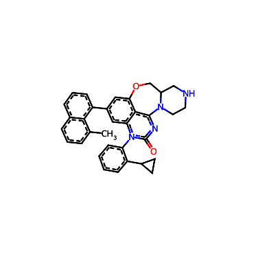 Cc1cccc2cccc(-c3cc4c5c(nc(=O)n(-c6ccccc6C6CC6)c5c3)N3CCNCC3CO4)c12